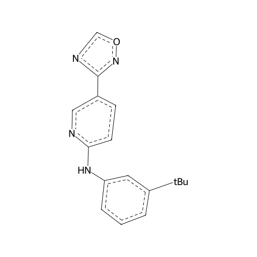 CC(C)(C)c1cccc(Nc2ccc(-c3ncon3)cn2)c1